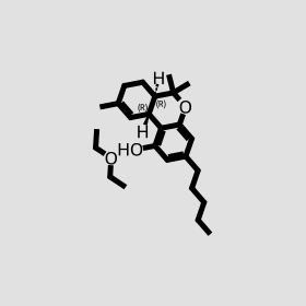 CCCCCc1cc(O)c2c(c1)OC(C)(C)[C@@H]1CCC(C)=C[C@@H]21.CCOCC